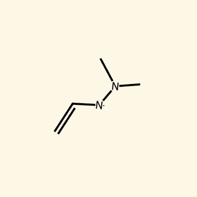 C=C[N]N(C)C